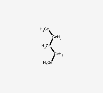 [GeH3][GeH2][GeH2][GeH2][GeH3]